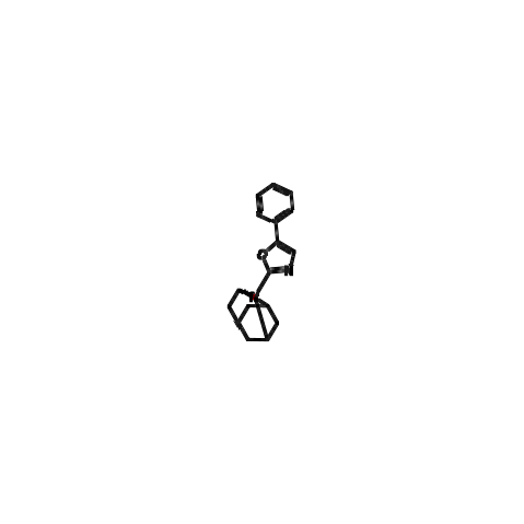 c1ccc(-c2cnc(N3C4CC5CC(C4)CC3C5)o2)cc1